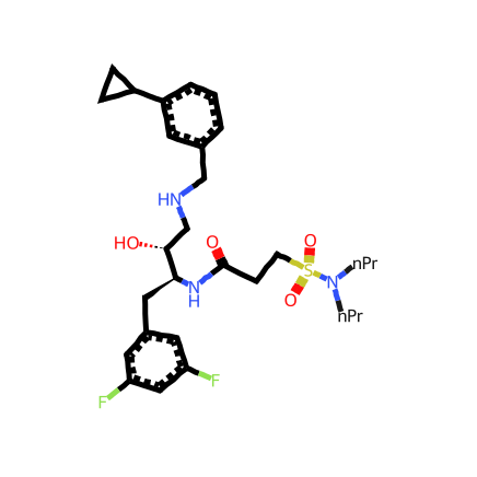 CCCN(CCC)S(=O)(=O)CCC(=O)N[C@@H](Cc1cc(F)cc(F)c1)[C@H](O)CNCc1cccc(C2CC2)c1